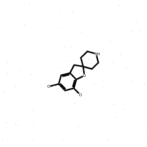 Clc1cc(Cl)c2c(c1)CC1(CCNCC1)O2